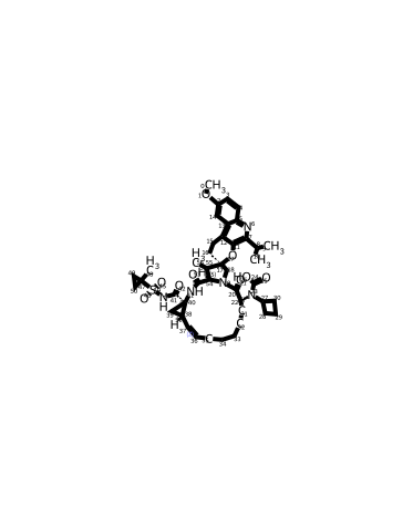 COc1ccc2nc(C(C)C)c3c(c2c1)CC[C@@]1(CN2C(=O)[C@@H](N(C(=O)O)C4CCC4)CCCCC/C=C\[C@@H]4C[C@@]4(C(=O)NS(=O)(=O)C4(C)CC4)NC(=O)[C@@H]2C1C)O3